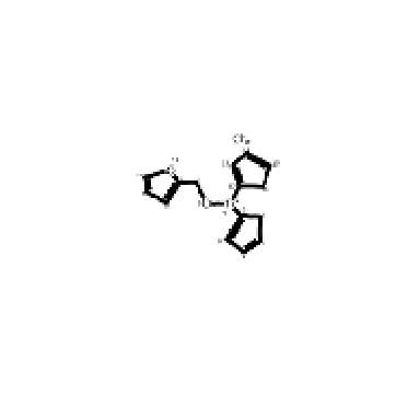 C1=CC[C]([Ti+]([O]Cc2ccco2)[C]2=CC=CC2)=C1.[Cl-]